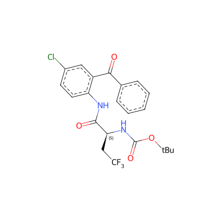 CC(C)(C)OC(=O)N[C@@H](CC(F)(F)F)C(=O)Nc1ccc(Cl)cc1C(=O)c1ccccc1